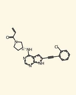 C=CC(=O)N1CC[C@@H](Nc2ncnc3[nH]c(C#Cc4ccccc4Cl)cc23)C1